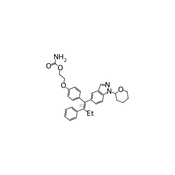 CC/C(=C(/c1ccc(OCCOC(N)=O)cc1)c1ccc2c(cnn2C2CCCCO2)c1)c1ccccc1